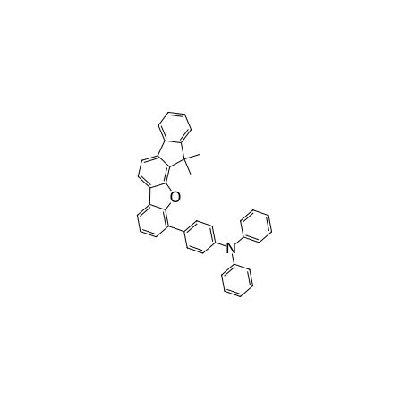 CC1(C)c2ccccc2-c2ccc3c(oc4c(-c5ccc(N(c6ccccc6)c6ccccc6)cc5)cccc43)c21